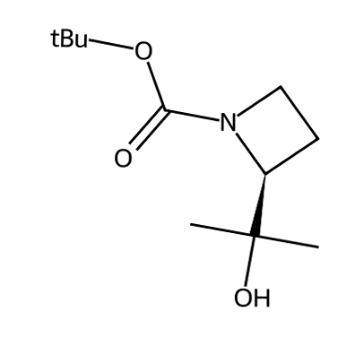 CC(C)(C)OC(=O)N1CC[C@H]1C(C)(C)O